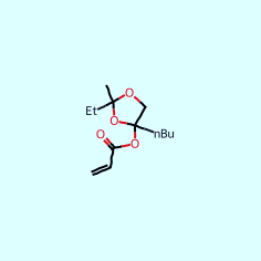 C=CC(=O)OC1(CCCC)COC(C)(CC)O1